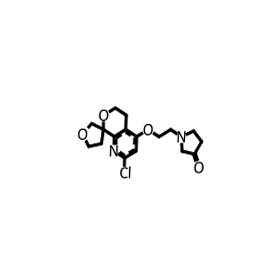 O=C1CCN(CCOc2cc(Cl)nc3c2CCOC32CCOC2)C1